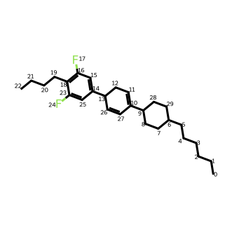 CCCCCCC1CCC(C2=CCC(c3cc(F)c(CCCC)c(F)c3)C=C2)CC1